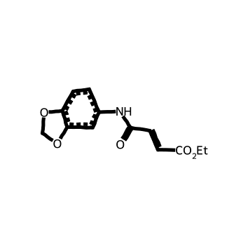 CCOC(=O)/C=C/C(=O)Nc1ccc2c(c1)OCO2